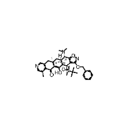 Cc1cncc2c1C(=O)C1=C(O)[C@]3(O[Si](C)(C)C(C)(C)C)C(=O)c4c(OCc5ccccc5)noc4[C@@H](N(C)C)[C@@H]3C[C@]1(C)C2